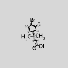 CC(C)(C=CC(=O)O)c1ccc(Br)c(F)c1